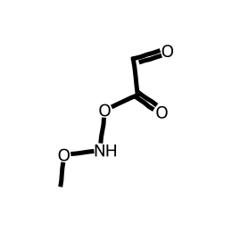 CONOC(=O)C=O